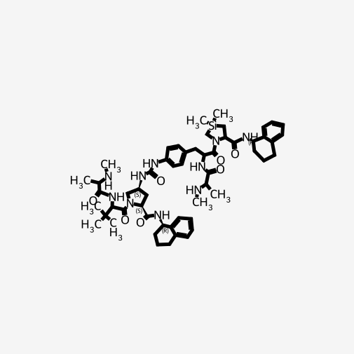 CNC(C)C(=O)NC(Cc1ccc(NC(=O)N[C@H]2C[C@@H](C(=O)N[C@@H]3CCCc4ccccc43)N(C(=O)C(NC(=O)C(C)NC)C(C)(C)C)C2)cc1)C(=O)N1C[Si](C)(C)CC1C(=O)N[C@@H]1CCCc2ccccc21